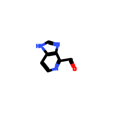 O=[C]c1nccc2[nH]cnc12